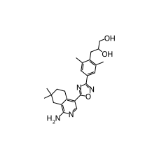 Cc1cc(-c2noc(-c3cnc(N)c4c3CCC(C)(C)C4)n2)cc(C)c1CC(O)CO